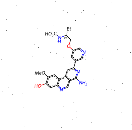 CC[C@H](COc1cncc(-c2cc3c(cnc4cc(O)c(OC)cc43)c(N)n2)c1)NC(=O)O